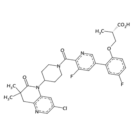 C[C@@H](COc1ccc(F)cc1-c1cnc(C(=O)N2CCC(N3C(=O)C(C)(C)Cc4ncc(Cl)cc43)CC2)c(F)c1)C(=O)O